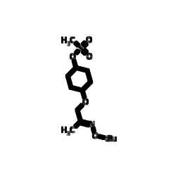 CC(COC1CCC(OS(C)(=O)=O)CC1)=NOC(C)(C)C